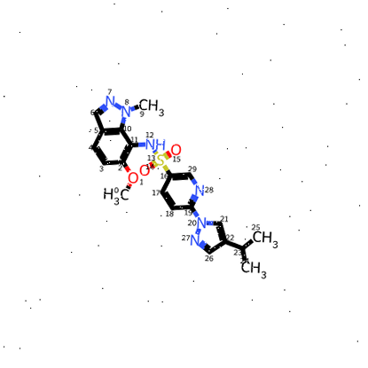 COc1ccc2cnn(C)c2c1NS(=O)(=O)c1ccc(-n2cc(C(C)C)cn2)nc1